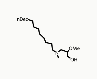 CCCCCCCCCCCCCCCCCCN(C)CC(CO)OC